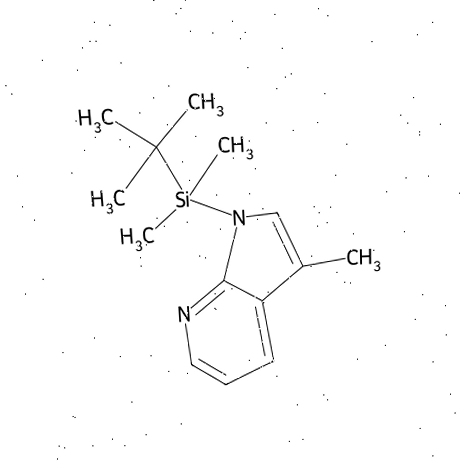 Cc1cn([Si](C)(C)C(C)(C)C)c2ncccc12